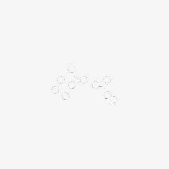 c1ccc(-n2c3ccc(-c4ccc5c(c4)c4ccccc4n5-c4ccc5ccccc5c4)cc3c3cc4c(cc32)C(c2ccccc2)(c2ccccc2)c2ccccc2-4)cc1